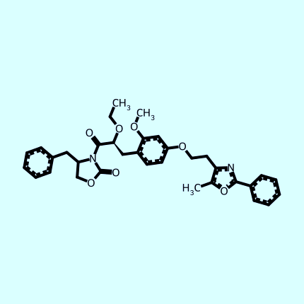 CCO[C@@H](Cc1ccc(OCCc2nc(-c3ccccc3)oc2C)cc1OC)C(=O)N1C(=O)OCC1Cc1ccccc1